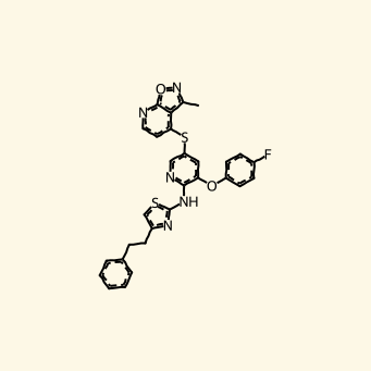 Cc1noc2nccc(Sc3cnc(Nc4nc(CCc5ccccc5)cs4)c(Oc4ccc(F)cc4)c3)c12